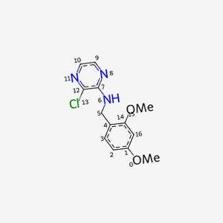 COc1ccc(CNc2nccnc2Cl)c(OC)c1